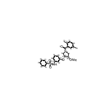 CO[C@@H]1CN(C(=O)c2cc(C)ccc2C)C[C@H]1Oc1cccc(NS(=O)(=O)c2ccccc2)c1